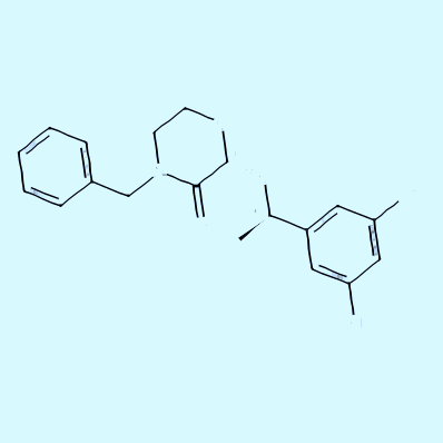 C[C@@H](O[C@H]1OCCN(Cc2ccccc2)C1=O)c1cc(C(F)(F)F)cc(C(F)(F)F)c1